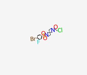 O=C(CCl)N1CC[C@]2(CCN(S(=O)(=O)c3ccc(Br)c(F)c3)C2)C1